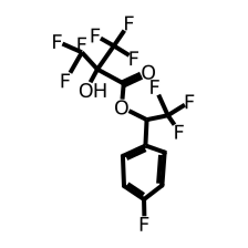 O=C(OC(c1ccc(F)cc1)C(F)(F)F)C(O)(C(F)(F)F)C(F)(F)F